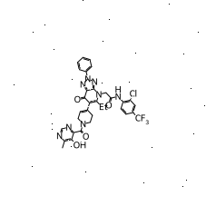 CCc1c(C2=CCN(C(=O)c3ncnc(C)c3O)CC2)c(=O)c2nn(-c3ccccc3)nc2n1CC(=O)Nc1ccc(C(F)(F)F)cc1Cl